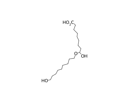 O=C(O)CCCCCCCC(O)OCCCCCCCCCO